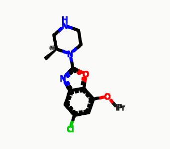 CC(C)Oc1cc(Cl)cc2nc(N3CCNC[C@@H]3C)oc12